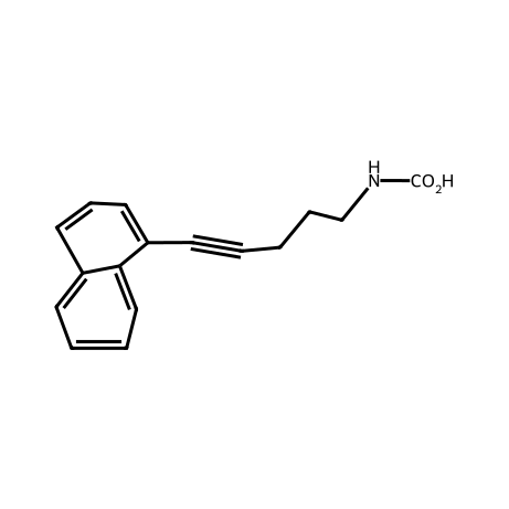 O=C(O)NCCCC#Cc1cccc2ccccc12